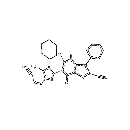 C#C/C=C\c1nc(-c2c(C)[nH]c3c(-c4ccccc4)c(C#N)nn3c2=O)n(C2CCCCC2)c1C